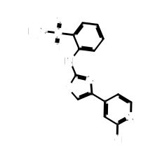 Cc1cc(-c2csc(Nc3ccccc3S(N)(=O)=O)n2)ccn1